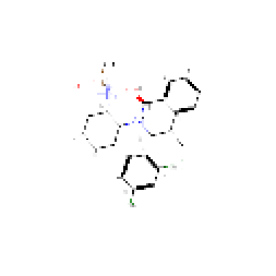 C[C@@H]1c2ccccc2C(=O)N(C2CCCC[C@@H]2N[S+](C)[O-])[C@H]1c1ccc(Cl)cc1Cl